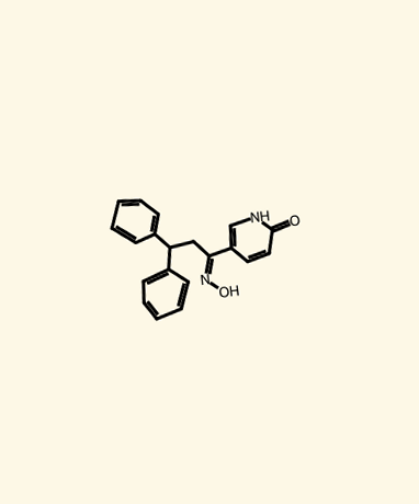 O=c1ccc(C(CC(c2ccccc2)c2ccccc2)=NO)c[nH]1